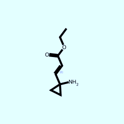 CCOC(=O)/C=C/C1(N)CC1